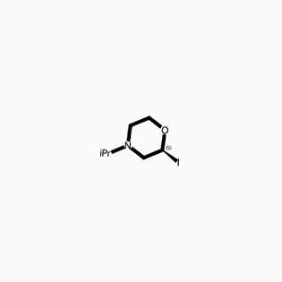 CC(C)N1CCO[C@@H](I)C1